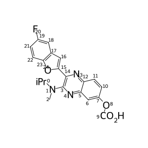 CC(C)N(C)c1nc2cc(OC(=O)O)ccc2nc1-c1cc2cc(F)ccc2o1